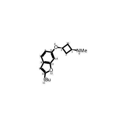 CN[C@H]1C[C@@H](Oc2ccc3cc(C(C)(C)C)oc3c2)C1